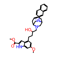 COC(=O)c1cc2c(CCC(O)CN3CC4C/C=C\CC3CN4c3ccc4ccccc4c3)cc(OC)cc2[nH]1